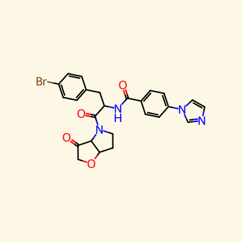 O=C(NC(Cc1ccc(Br)cc1)C(=O)N1CCC2OCC(=O)C21)c1ccc(-n2ccnc2)cc1